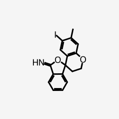 Cc1cc2c(cc1I)C1(CCO2)OC(=N)c2ccccc21